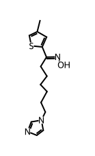 Cc1csc(C(CCCCCCn2ccnc2)=NO)c1